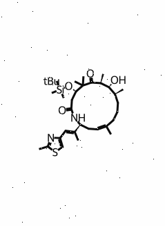 C/C1=C/C[C@@H](/C(C)=C/c2csc(C)n2)NC(=O)C[C@H](O[Si](C)(C)C(C)(C)C)C(C)(C)C(=O)[C@@H](C)[C@H](O)[C@@H](C)CCC1